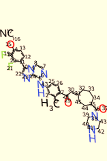 Cc1cc(Nc2nccn3c(-c4ccc(OCC#N)c(F)c4F)cnc23)ccc1C(=O)/C=C1/CCCC(C(=O)N2CCNCC2)CC1